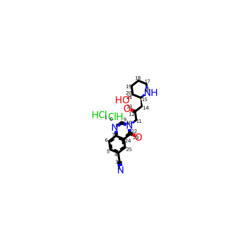 Cl.Cl.N#Cc1ccc2ncn(CC(=O)C[C@@H]3NCCC[C@H]3O)c(=O)c2c1